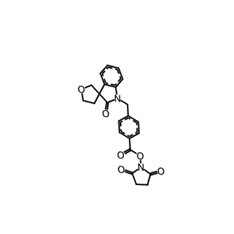 O=C(ON1C(=O)CCC1=O)c1ccc(CN2C(=O)C3(CCOC3)c3ccccc32)cc1